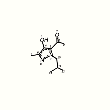 CC(=O)c1c(O)c(C)nn1CC(C)C